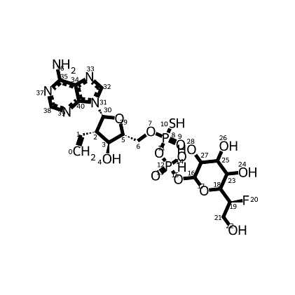 C=C[C@H]1[C@H](O)[C@@H](COP(=O)(S)OP(=O)(O)OC2OC([C@@H](F)CO)C(O)C(O)C2O)O[C@H]1n1cnc2c(N)ncnc21